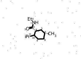 CCNC(=O)[C@@H]1C[C@H](C)CCC1C(C)C